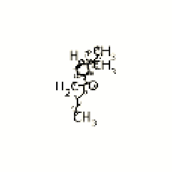 C=C(CCCCC)C(=O)c1cccc(C(C)(C)CC)c1